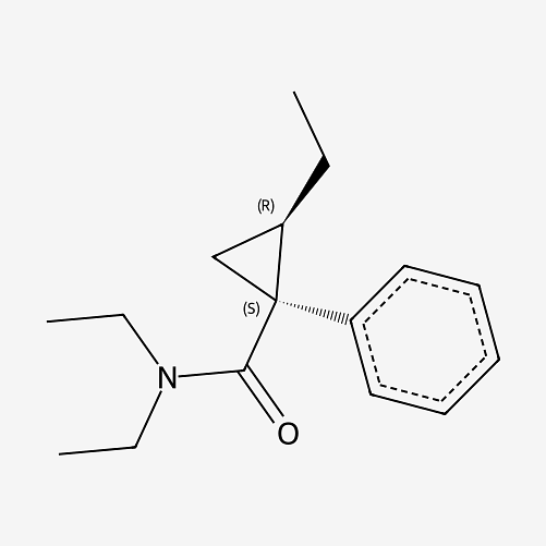 CC[C@@H]1C[C@@]1(C(=O)N(CC)CC)c1ccccc1